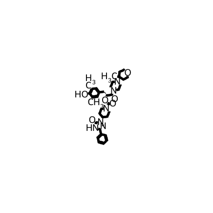 Cc1cc(C[C@@H](OC(=O)N2CCC(n3nc(-c4ccccc4)[nH]c3=O)CC2)C(=O)N2CCN(C3(C)CCOCC3)CC2)cc(C)c1O